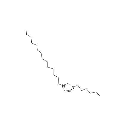 CCCCCCCCCCCCCCN1C=CN(CCCCCC)C1